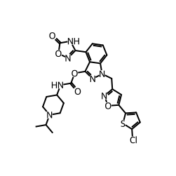 CC(C)N1CCC(NC(=O)Oc2nn(Cc3cc(-c4ccc(Cl)s4)on3)c3cccc(-c4noc(=O)[nH]4)c23)CC1